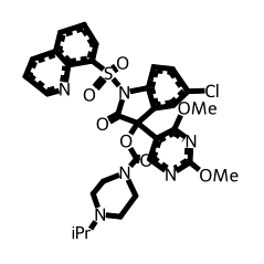 COc1ncc(C2(OC(=O)N3CCN(C(C)C)CC3)C(=O)N(S(=O)(=O)c3cccc4cccnc34)c3ccc(Cl)cc32)c(OC)n1